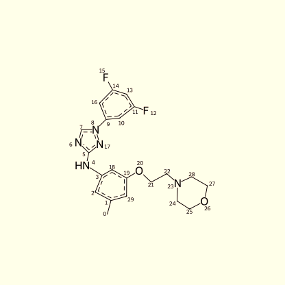 Cc1cc(Nc2ncn(-c3cc(F)cc(F)c3)n2)cc(OCCN2CCOCC2)c1